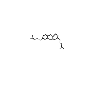 CC(C)=CCCc1ccc2cc3ccc(CCC=C(C)C)cc3cc2c1